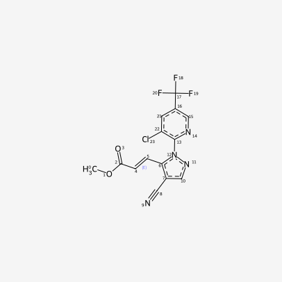 COC(=O)/C=C/c1c(C#N)cnn1-c1ncc(C(F)(F)F)cc1Cl